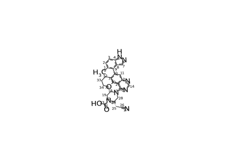 Cc1ccc2[nH]ncc2c1-c1cc2ncnc(N3CCN(C(=O)O)[C@@H](CC#N)C3)c2c2c1CCCO2